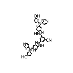 N#Cc1cc(-c2nc3cc(N(c4ccncn4)N4CCC(O)C4)ncc3[nH]2)cc(-c2nc3cc(N(c4ccncn4)N4CCC(O)C4)ncc3[nH]2)c1